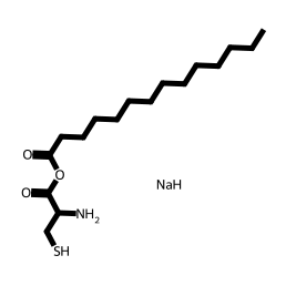 CCCCCCCCCCCCCC(=O)OC(=O)C(N)CS.[NaH]